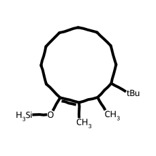 CC1=C(O[SiH3])CCCCCCCCC(C(C)(C)C)C1C